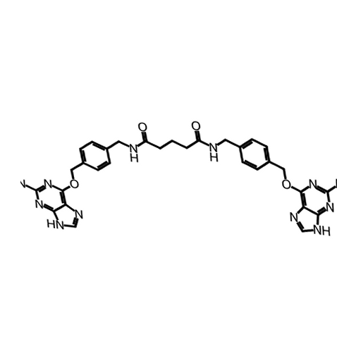 Nc1nc(OCc2ccc(CNC(=O)CCCC(=O)NCc3ccc(COc4nc(N)nc5[nH]cnc45)cc3)cc2)c2nc[nH]c2n1